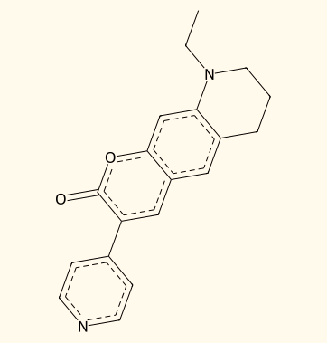 CCN1CCCc2cc3cc(-c4ccncc4)c(=O)oc3cc21